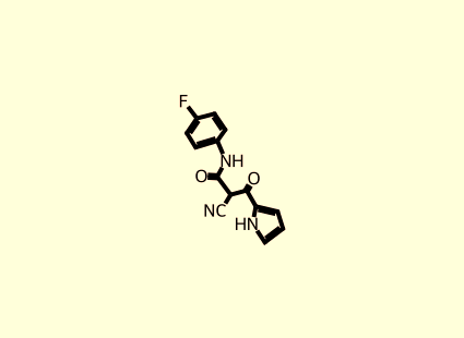 N#CC(C(=O)Nc1ccc(F)cc1)C(=O)c1ccc[nH]1